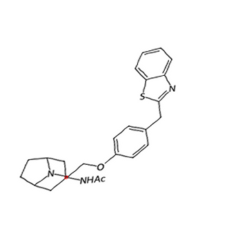 CC(=O)NC1CC2CCC(C1)N2CCOc1ccc(Cc2nc3ccccc3s2)cc1